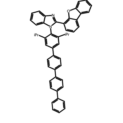 CC(C)c1cc(-c2ccc(-c3ccc(-c4ccccc4)cc3)cc2)cc(C(C)C)c1-n1c(-c2cccc3c2oc2ccccc23)nc2ccccc21